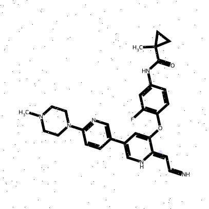 CN1CCN(c2ccc(C3=CN/C(=C\C=N)C(Oc4ccc(NC(=O)C5(C)CC5)cc4F)=C3)cn2)CC1